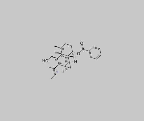 C/C=C(\C)[C@H]1[C@@H](CO)[C@H]2[C@H]([C@@H](OC(=O)c3ccccc3)CC[C@@H]2C)[C@H]2C[C@]21C